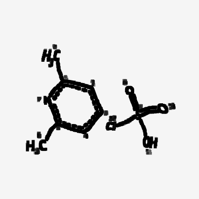 Cc1cccc(C)n1.O=S(=O)(O)Cl